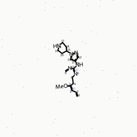 C=C/C=C(\CC/N=C(\N=C)Nc1cnn(C2CCNCC2)c1)OC